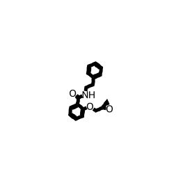 O=C(NCCc1ccccc1)c1ccccc1OCC1CO1